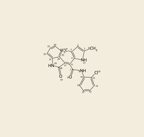 Cc1cc(C)c(C(C(=O)Nc2ccccc2Cl)=C2C(=O)Nc3ccccc32)[nH]1